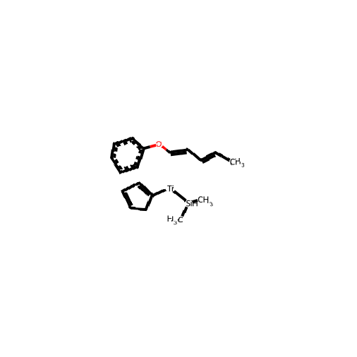 CC=CC=COc1ccccc1.C[SiH](C)[Ti][C]1=CC=CC1